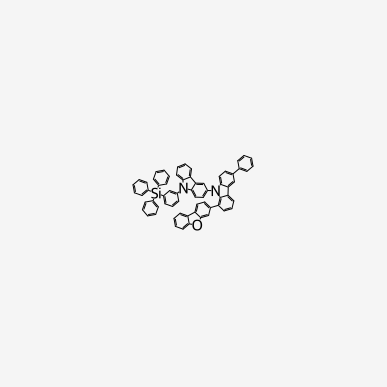 c1ccc(-c2ccc3c(c2)c2cccc(-c4ccc5c(c4)oc4ccccc45)c2n3-c2ccc3c(c2)c2ccccc2n3-c2cccc([Si](c3ccccc3)(c3ccccc3)c3ccccc3)c2)cc1